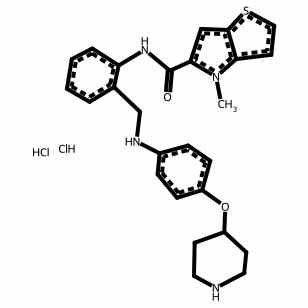 Cl.Cl.Cn1c(C(=O)Nc2ccccc2CNc2ccc(OC3CCNCC3)cc2)cc2sccc21